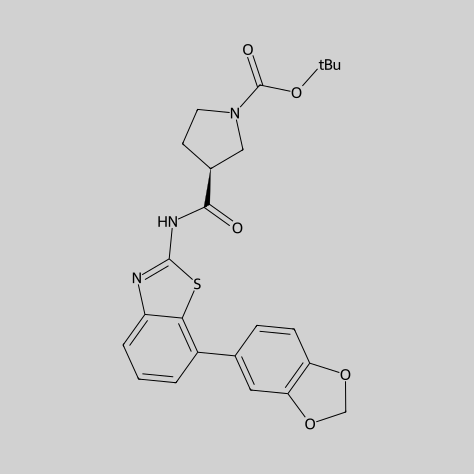 CC(C)(C)OC(=O)N1CC[C@H](C(=O)Nc2nc3cccc(-c4ccc5c(c4)OCO5)c3s2)C1